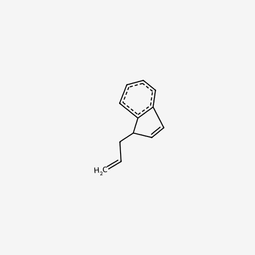 C=CCC1C=Cc2ccccc21